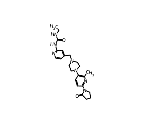 CCNC(=O)Nc1cc(CN2CCN(c3ccc(N4CCCC4=O)nc3C)CC2)ccn1